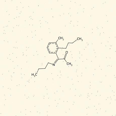 CCCC/N=C(/C(C)=O)c1cccc(C)c1CCCC